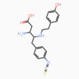 NC(CC(=O)O)C(Cc1ccc(N=C=S)cc1)NCCc1ccc(O)cc1